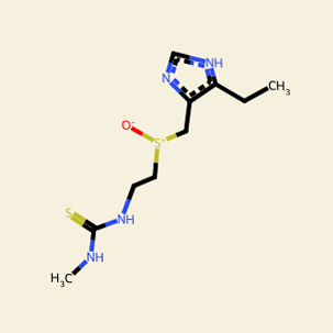 CCc1[nH]cnc1C[S+]([O-])CCNC(=S)NC